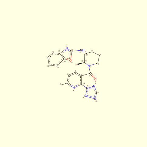 Cc1ccc(C(=O)N2CCC[C@@H](Nc3nc4ccccc4o3)[C@@H]2C)c(-n2ncnn2)n1